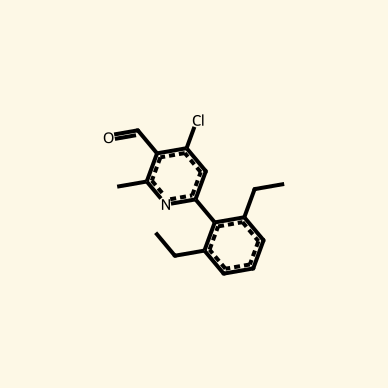 CCc1cccc(CC)c1-c1cc(Cl)c(C=O)c(C)n1